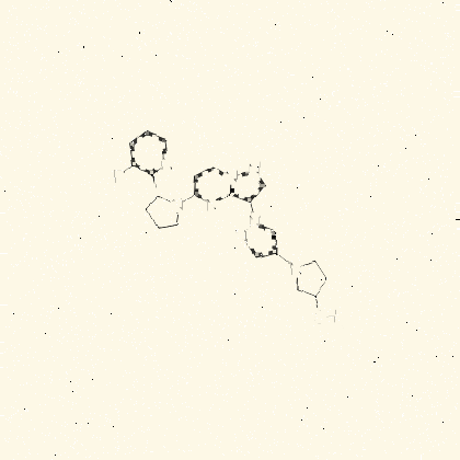 CC1CCN(c2cnn(-c3cnn4ccc(N5CCC[C@H]5c5ncccc5F)nc34)c2)C1